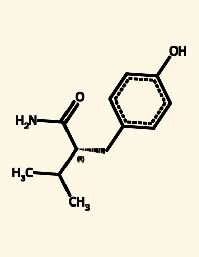 CC(C)[C@@H](Cc1ccc(O)cc1)C(N)=O